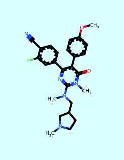 COc1ccc(-c2c(-c3ccc(C#N)c(F)c3)nc(N(C)CC3CCN(C)C3)n(C)c2=O)cc1